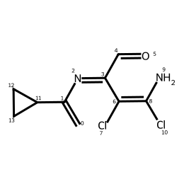 C=C(/N=C(C=O)\C(Cl)=C(/N)Cl)C1CC1